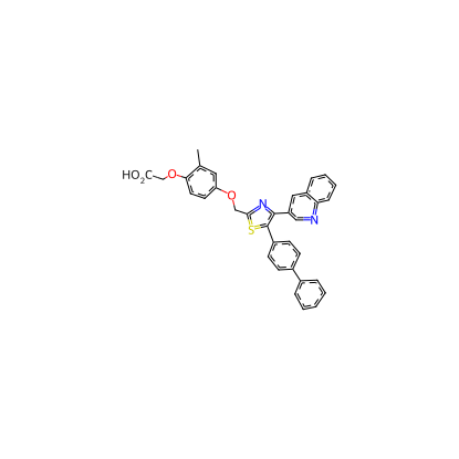 Cc1cc(OCc2nc(-c3cnc4ccccc4c3)c(-c3ccc(-c4ccccc4)cc3)s2)ccc1OCC(=O)O